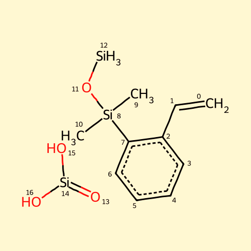 C=Cc1ccccc1[Si](C)(C)O[SiH3].O=[Si](O)O